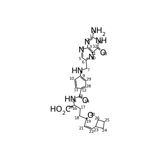 Nc1nc2ncc(CNc3ccc(C(=O)N[C@@H](CCC(=O)/C=C\C4CCC4)C(=O)O)cc3)nc2c(=O)[nH]1